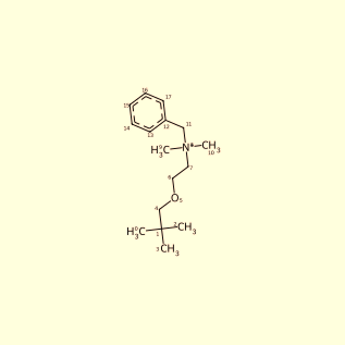 CC(C)(C)COCC[N+](C)(C)Cc1ccccc1